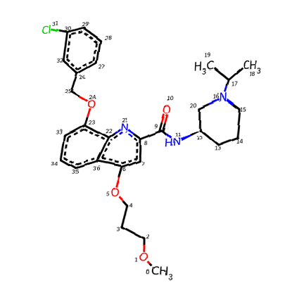 COCCCOc1cc(C(=O)N[C@@H]2CCCN(C(C)C)C2)nc2c(OCc3cccc(Cl)c3)cccc12